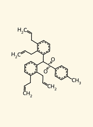 C=CCc1cccc(C(c2cccc(CC=C)c2CC=C)S(=O)(=O)c2ccc(C)cc2)c1CC=C